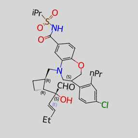 CC/C=C/[C@](O)(C=O)[C@@H]1CC[C@H]1CN1C[C@](C)(c2ccc(Cl)cc2CCC)COc2ccc(C(=O)NS(=O)(=O)C(C)C)cc21